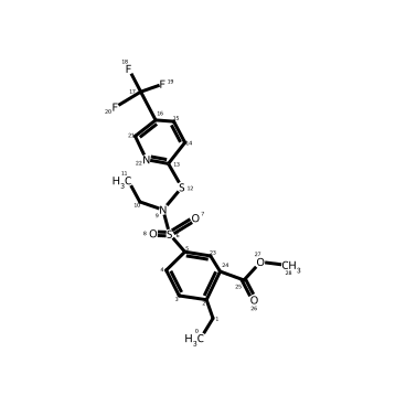 CCc1ccc(S(=O)(=O)N(CC)Sc2ccc(C(F)(F)F)cn2)cc1C(=O)OC